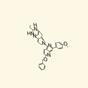 CCC1NC2=CN(N1)C1=CCN(c3nc(-c4ccc(OC)cc4)cc4nc(OCc5ccccc5)ccc34)C=C1C2